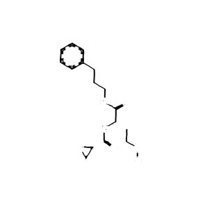 CSCC[C@H](NC(=O)[C@@H]1CO1)C(=O)NCCCc1ccccc1